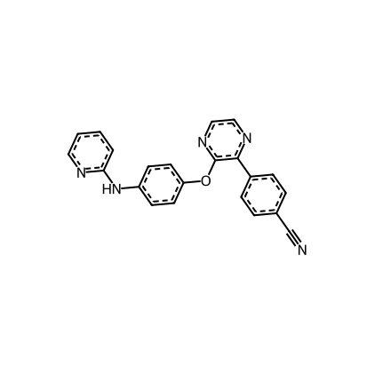 N#Cc1ccc(-c2nccnc2Oc2ccc(Nc3ccccn3)cc2)cc1